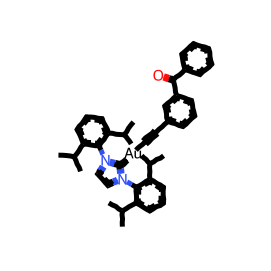 CC(C)c1cccc(C(C)C)c1-n1ccn(-c2c(C(C)C)cccc2C(C)C)[c]1=[Au][C]#Cc1cccc(C(=O)c2ccccc2)c1